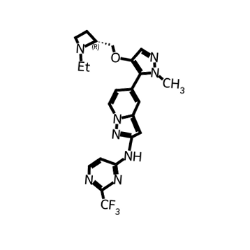 CCN1CC[C@@H]1COc1cnn(C)c1-c1ccn2nc(Nc3ccnc(C(F)(F)F)n3)cc2c1